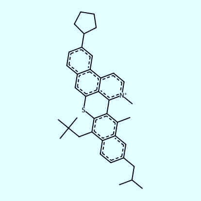 Cc1c2c(c(CC(C)(C)C)c3ccc(CC(C)C)cc13)Sc1cc3ccc(C4CCCC4)cc3c3cc[n+](C)c-2c13